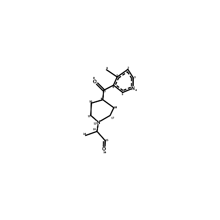 Cc1ccncc1C(=O)C1CCN(C(C)C=O)CC1